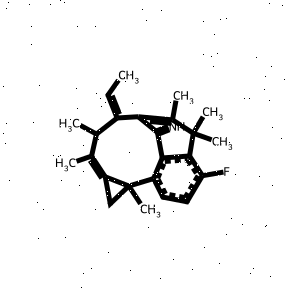 C/C=C1\C2=C(C)C(C)(C)c3c(F)ccc(c3C2=N)C2(C)C/C2=C(\C)C1C